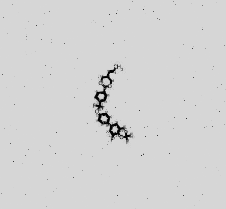 C/C=C/C1COC(c2ccc(C(F)(F)Oc3ccc(-c4cc(F)c(OC(F)(F)F)c(F)c4)cc3)cc2)OC1